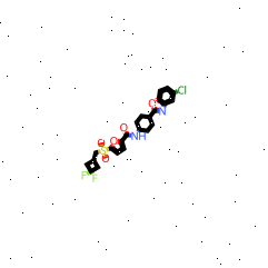 O=C(NC1CCC(c2nc3cc(Cl)ccc3o2)CC1)c1ccc(S(=O)(=O)CC2CC(F)(F)C2)o1